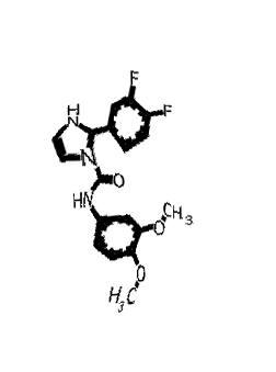 COc1ccc(NC(=O)N2C=CNC2c2ccc(F)c(F)c2)cc1OC